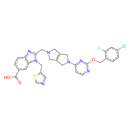 O=C(O)c1ccc2nc(CN3CC4=C(C3)CN(c3ccnc(OCc5ccc(Cl)cc5F)n3)C4)n(Cc3cncs3)c2c1